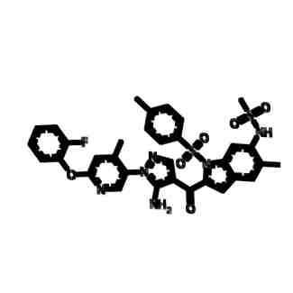 Cc1ccc(S(=O)(=O)n2c(C(=O)c3cnn(-c4cnc(Oc5ccccc5F)cc4C)c3N)cc3cc(C)c(NS(C)(=O)=O)cc32)cc1